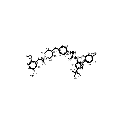 COc1ccc(OC)c(CC(=O)N2CCC(Cc3ccc(NC(=O)Nc4cc(C(C)(C)C)nn4-c4ccc(C)cc4)cc3)CC2)c1